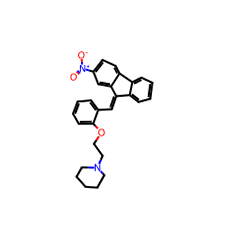 O=[N+]([O-])c1ccc2c(c1)C(=Cc1ccccc1OCCN1CCCCC1)c1ccccc1-2